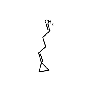 C=CCCC=C1CC1